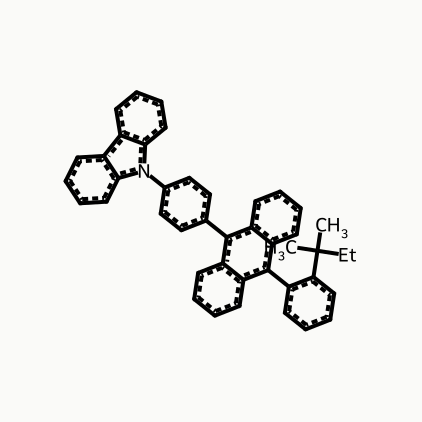 CCC(C)(C)c1ccccc1-c1c2ccccc2c(-c2ccc(-n3c4ccccc4c4ccccc43)cc2)c2ccccc12